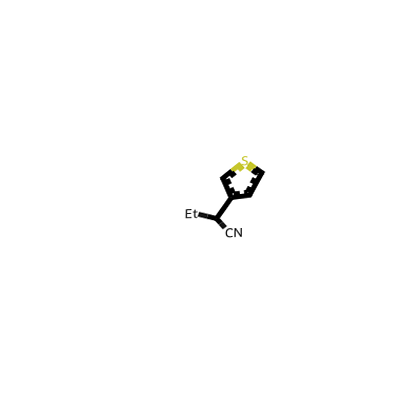 CCC(C#N)c1ccsc1